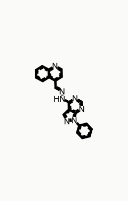 C(=NNc1ncnc2c1cnn2-c1ccccc1)c1ccnc2ccccc12